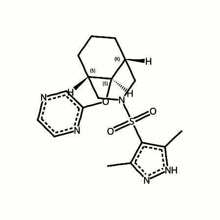 Cc1n[nH]c(C)c1S(=O)(=O)N1C[C@H]2CCC[C@@H](C1)[C@@H]2Oc1cnccn1